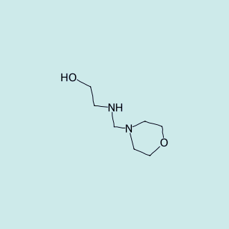 OCCNCN1CCOCC1